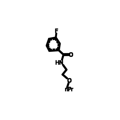 CCCOCCNC(=O)c1cccc(F)c1